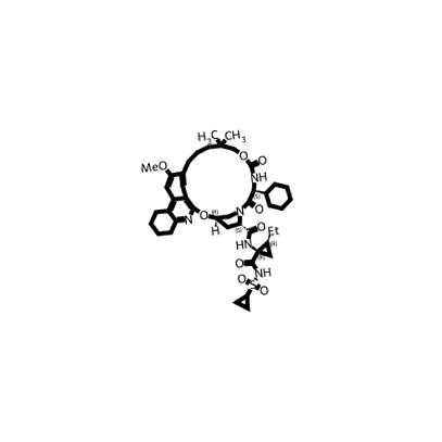 CC[C@@H]1C[C@]1(NC(=O)[C@@H]1C[C@@H]2CN1C(=O)[C@H](C1CCCCC1)NC(=O)OCC(C)(C)CCCc1cc3c(nc4c(c3cc1OC)CCCC4)O2)C(=O)NS(=O)(=O)C1CC1